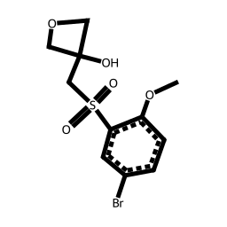 COc1ccc(Br)cc1S(=O)(=O)CC1(O)COC1